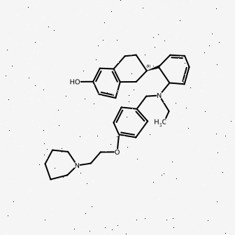 CCN(Cc1ccc(OCCN2CCCCC2)cc1)C1C=CC=CC1[C@@H]1CCc2cc(O)ccc2C1